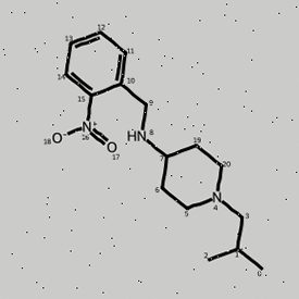 C[C](C)CN1CCC(NCc2ccccc2[N+](=O)[O-])CC1